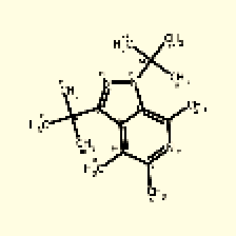 Cc1nc(C)c2c(c(C(C)(C)C)nn2C(C)(C)C)c1C